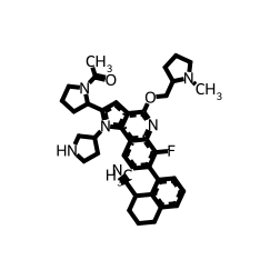 CC(=O)N1CCCC1c1cc2c(OCC3CCCN3C)nc3c(F)c(-c4cccc5c4C(C#N)CCC5)c(C)cc3c2n1C1CCNC1